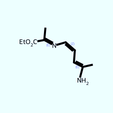 CCOC(=O)/C(C)=N/C=C\C=C(/C)N